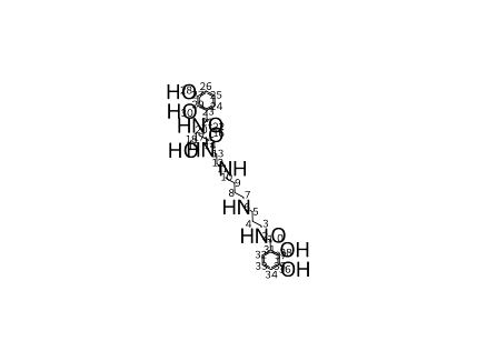 O=C(NCCCNCCCCNCCNC(=O)[C@H](CO)NC(=O)c1cccc(O)c1O)c1cccc(O)c1O